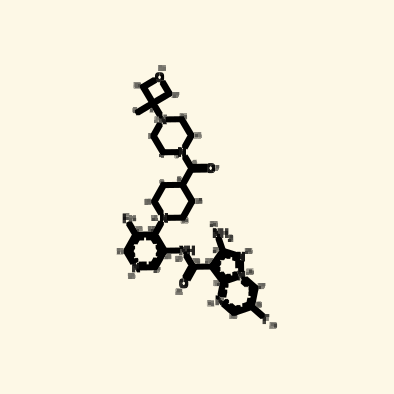 CC1(N2CCN(C(=O)C3CCN(c4c(F)cncc4NC(=O)c4c(N)nn5cc(F)cnc45)CC3)CC2)COC1